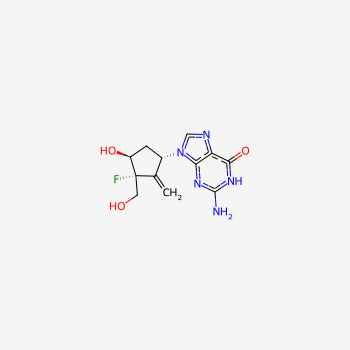 C=C1[C@@H](n2cnc3c(=O)[nH]c(N)nc32)C[C@H](O)[C@]1(F)CO